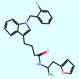 CC(Cc1ccco1)NC(=O)CCCc1cn(Cc2ccccc2F)c2ccccc12